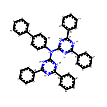 c1ccc(-c2ccc(N(c3nc(-c4ccccc4)nc(-c4ccccc4)n3)c3nc(-c4ccccc4)nc(-c4ccccc4)n3)cc2)cc1